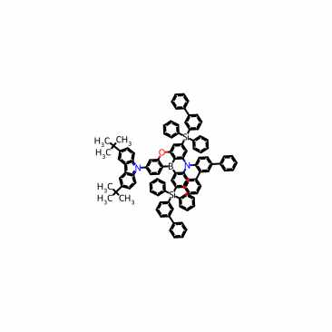 CC(C)(C)c1ccc2c(c1)c1cc(C(C)(C)C)ccc1n2-c1ccc2c(c1)Oc1cc([Si](c3ccccc3)(c3ccccc3)c3cccc(-c4ccccc4)c3)cc3c1B2c1cc([Si](c2ccccc2)(c2ccccc2)c2cccc(-c4ccccc4)c2)ccc1N3c1ccc(-c2ccccc2)cc1-c1ccccc1